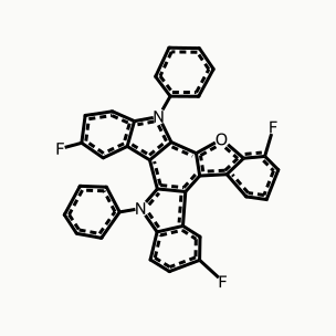 Fc1ccc2c(c1)c1c(c3oc4c(F)cccc4c3c3c4cc(F)ccc4n(-c4ccccc4)c31)n2-c1ccccc1